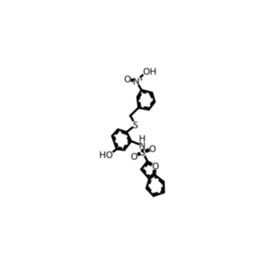 O=[N+](O)c1cccc(CSc2ccc(O)cc2NS(=O)(=O)c2cc3ccccc3o2)c1